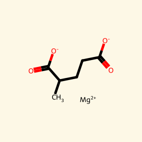 CC(CCC(=O)[O-])C(=O)[O-].[Mg+2]